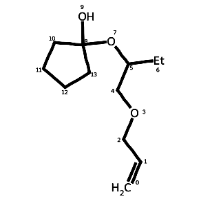 C=CCOCC(CC)OC1(O)CCCC1